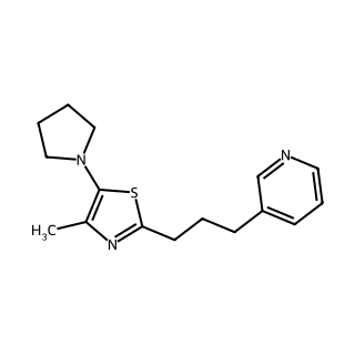 Cc1nc(CCCc2cccnc2)sc1N1CCCC1